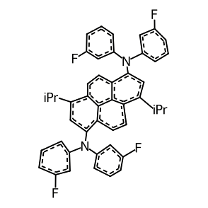 CC(C)c1cc(N(c2cccc(F)c2)c2cccc(F)c2)c2ccc3c(C(C)C)cc(N(c4cccc(F)c4)c4cccc(F)c4)c4ccc1c2c34